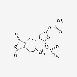 CC(=O)OC1CC(C2CC3C(=O)OC(=O)C3CC2C)C(OC(C)=O)O1